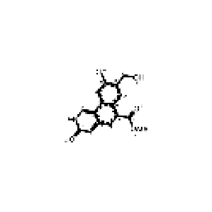 COC(=O)c1cc2c(c3cc(Cl)c(CO)cc13)=C[N]C(=O)C=2